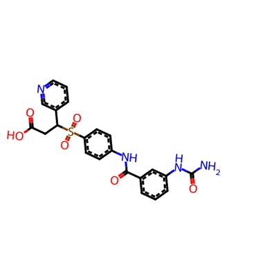 NC(=O)Nc1cccc(C(=O)Nc2ccc(S(=O)(=O)C(CC(=O)O)c3cccnc3)cc2)c1